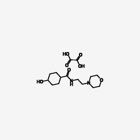 O=C(NCCN1CCOCC1)C1CCC(O)CC1.O=C(O)C(=O)O